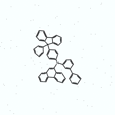 c1ccc(-c2cccc(N(c3ccc(C4(c5ccccc5)c5ccccc5-c5ccccc54)cc3)c3cc4ccccc4c4ccccc34)c2)cc1